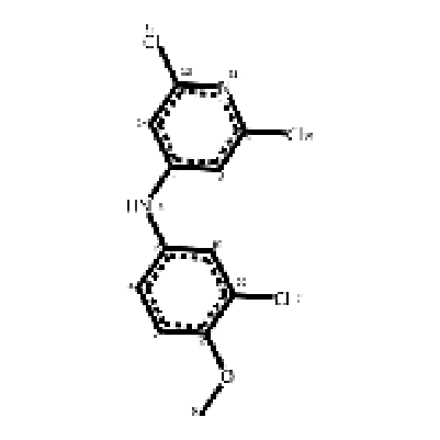 COc1ccc(Nc2cc(Cl)nc(Cl)c2)cc1Cl